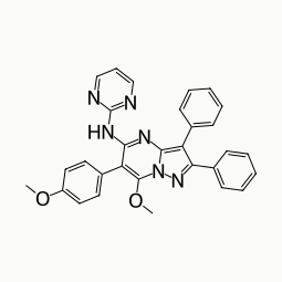 COc1ccc(-c2c(Nc3ncccn3)nc3c(-c4ccccc4)c(-c4ccccc4)nn3c2OC)cc1